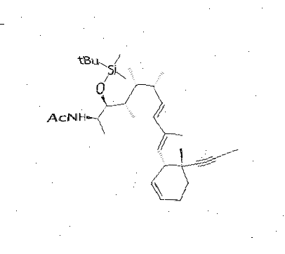 CC#C[C@]1(C)CCC=C[C@@H]1/C=C(C)/C=C/[C@@H](C)[C@@H](C)[C@H](C)[C@H](O[Si](C)(C)C(C)(C)C)[C@@H](C)NC(C)=O